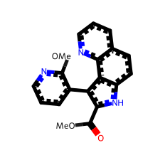 COC(=O)c1[nH]c2ccc3cccnc3c2c1-c1cccnc1OC